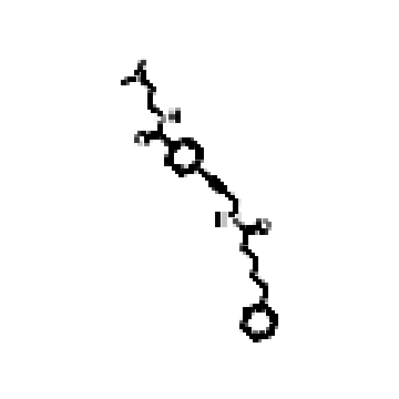 CN(C)CCNC(=O)c1ccc(C#CCNC(=O)CCCCc2ccccc2)cc1